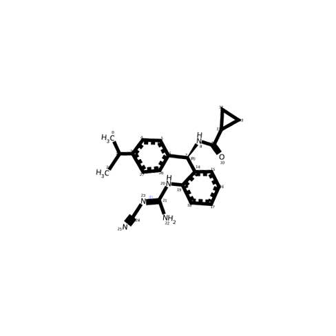 CC(C)c1ccc([C@@H](NC(=O)C2CC2)c2ccccc2N/C(N)=N/C#N)cc1